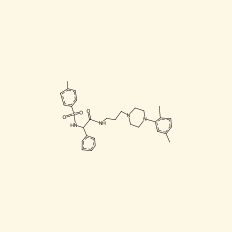 Cc1ccc(S(=O)(=O)NC(C(=O)NCCCN2CCN(c3cc(C)ccc3C)CC2)c2ccccc2)cc1